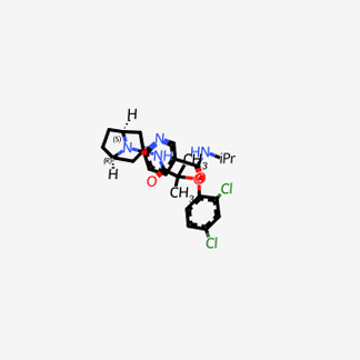 CC(C)NC(=O)c1ccc(N2[C@@H]3CC[C@H]2C[C@@H](NC(=O)C(C)(C)Oc2ccc(Cl)cc2Cl)C3)nc1